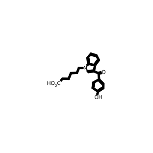 O=C(O)CCCCCn1cc(C(=O)c2ccc(O)cc2)c2ccccc21